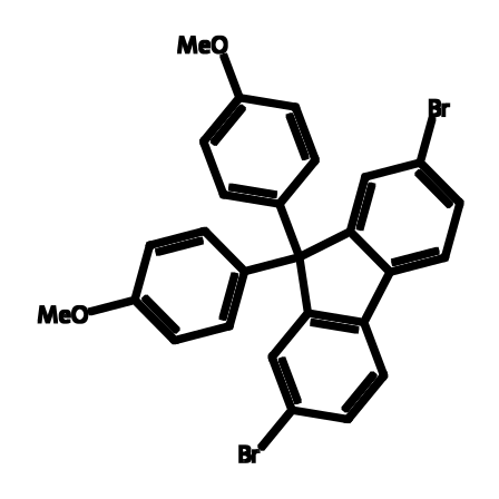 COc1ccc(C2(c3ccc(OC)cc3)c3cc(Br)ccc3-c3ccc(Br)cc32)cc1